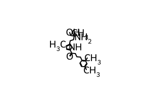 Cc1ccc(CCCC(=O)c2cc(C)c(CCC(C)(N)CO)[nH]2)c(C)c1